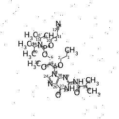 CCCO[C@H]([C@@H](COP(OCCC#N)N(C(C)C)C(C)C)OC)n1cnc2c(=O)[nH]c(NC(=O)C(C)C)nc21